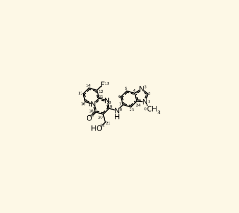 Cn1cnc2ccc(Nc3nc4c(F)cccn4c(=O)c3CO)cc21